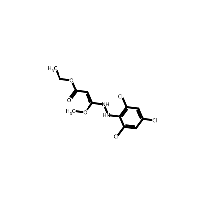 CCOC(=O)C=C(NNc1c(Cl)cc(Cl)cc1Cl)OC